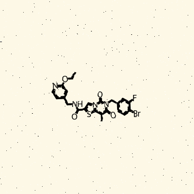 CCOc1cc(CNC(=O)c2cn3c(=O)n(Cc4ccc(Br)c(F)c4)c(=O)c(C)c3s2)ccn1